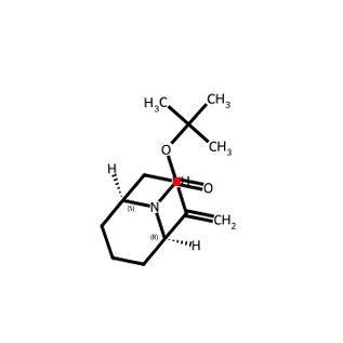 C=C1NC[C@@H]2CCC[C@H]1N2C(=O)OC(C)(C)C